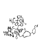 CC[C@H](N[C@@H](Cc1ccc(-c2cccc(Cl)c2)cc1)C(=O)NC1=NNNN1)C(=O)OC(C)(C)C